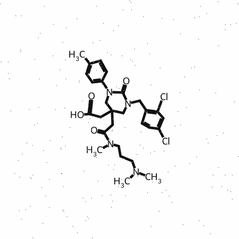 Cc1ccc(N2CC(CC(=O)O)(CC(=O)N(C)CCCN(C)C)CN(Cc3ccc(Cl)cc3Cl)C2=O)cc1